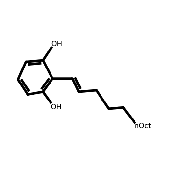 CCCCCCCCCCCC=Cc1c(O)cccc1O